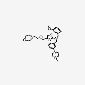 COc1cccc(CN(Cc2cccc(N3CCN(C)CC3)c2)c2nc(COCCN3CCOCC3)cs2)c1